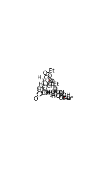 CCC(=O)OCC(=O)[C@@]1(OC(=O)CC)[C@@H](C)C[C@H]2[C@@H]3CCC4=CC(=O)C=C[C@]4(C)C3(F)[C@@H](O)C[C@@]21C.O=P([O-])(O)O.O=P([O-])(O)O.[Na+].[Na+]